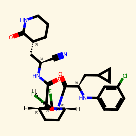 N#C[C@H](C[C@H]1CCCNC1=O)NC(=O)[C@@H]1[C@H]2CC[C@H](CC2(F)F)N1C(=O)[C@@H](CC1CC1)Nc1cccc(Cl)c1